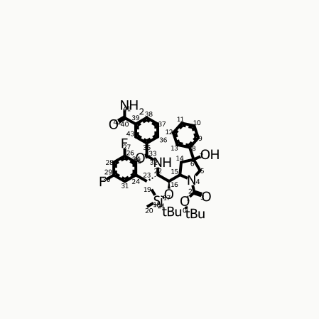 CC(C)(C)OC(=O)N1CC(O)(c2ccccc2)CC1[C@@H](O[Si](C)(C)C(C)(C)C)[C@H](Cc1cc(F)cc(F)c1)NC(=O)c1cccc(C(N)=O)c1